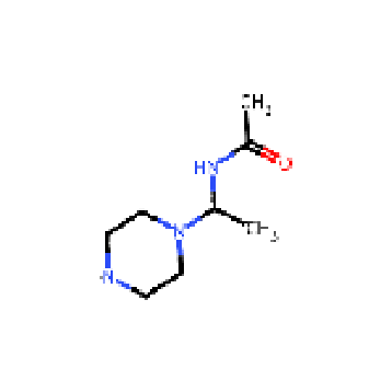 CC(=O)NC(C)N1CC[N]CC1